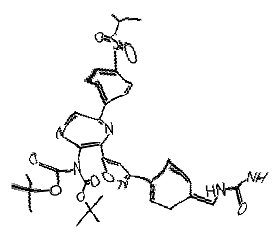 CNC(=O)NC=C1C=CC(c2cc(-c3nc(-c4ccc(S(=O)(=O)C(C)C)cc4)cnc3N(C(=O)OC(C)(C)C)C(=O)OC(C)(C)C)on2)=CC1